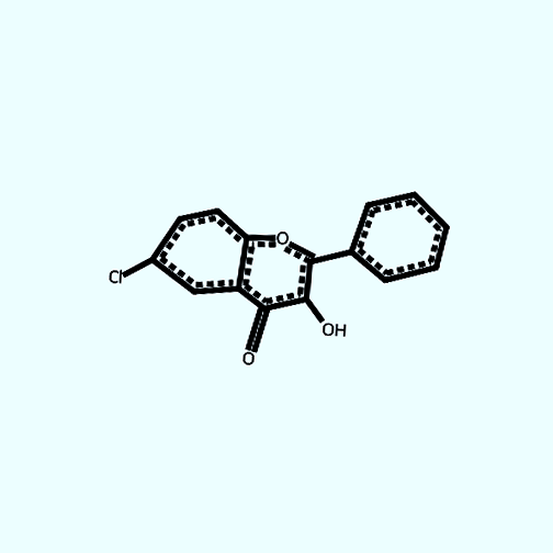 O=c1c(O)c(-c2ccccc2)oc2ccc(Cl)cc12